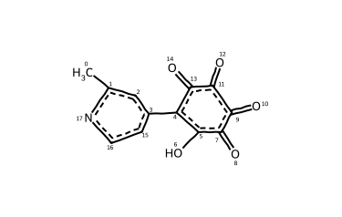 Cc1cc(-c2c(O)c(=O)c(=O)c(=O)c2=O)ccn1